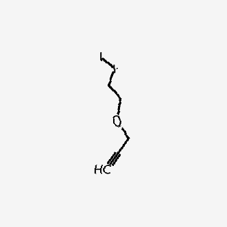 C#CCOCC[I]I